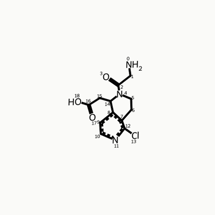 NCC(=O)N1CCc2c(ccnc2Cl)C1CC(=O)O